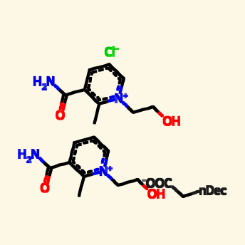 CCCCCCCCCCCC(=O)[O-].Cc1c(C(N)=O)ccc[n+]1CCO.Cc1c(C(N)=O)ccc[n+]1CCO.[Cl-]